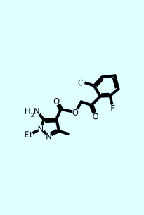 CCn1nc(C)c(C(=O)OCC(=O)c2c(F)cccc2Cl)c1N